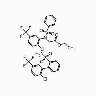 CCOC(=O)CN(c1cc(C(F)(F)F)ccc1Cl)S(=O)(=O)c1ccccc1.NS(=O)(=O)c1ccccc1-c1cc(C(F)(F)F)ccc1Cl